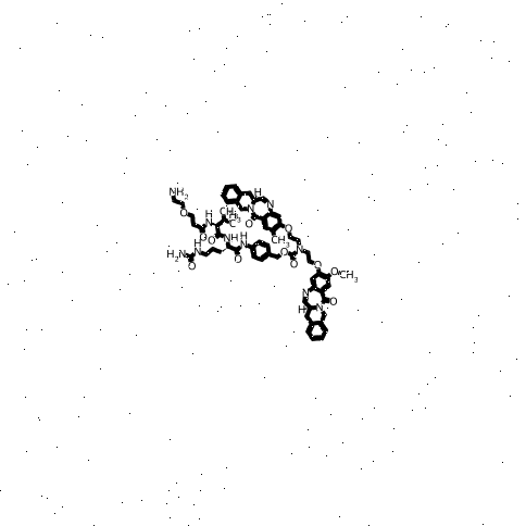 COc1cc2c(cc1OCCN(CCOc1cc3c(cc1C)C(=O)N1Cc4ccccc4C[C@H]1C=N3)C(=O)OCc1ccc(NC(=O)[C@H](CCCNC(N)=O)NC(=O)[C@@H](NC(=O)CCOCCN)C(C)C)cc1)N=C[C@@H]1Cc3ccccc3CN1C2=O